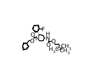 C[Si](C)(C)CCOC(=O)N[C@@H]1CCN(C(=O)OCc2ccccc2)[C@H](c2ccccc2F)C1